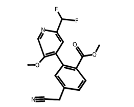 COC(=O)c1ccc(CC#N)cc1-c1cc(C(F)F)ncc1OC